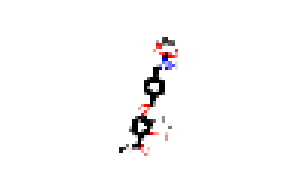 CCCC(=O)c1ccc(OCc2ccc(CNC(=O)OC(C)(C)C)cc2)c(C(F)(F)F)c1O